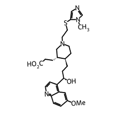 COc1ccc2nccc([C@H](O)CC[C@@H]3CCN(CCSc4cncn4C)C[C@H]3CCC(=O)O)c2c1